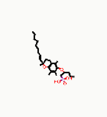 CCCCCCCC=CC1(C)CCc2c(C)c(OC(CCC)CP(=O)(O)O)c(C)c(C)c2O1